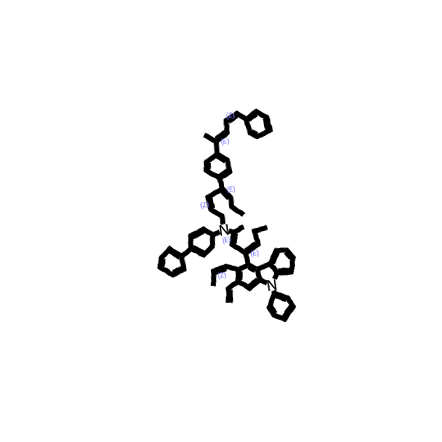 C=Cc1cc2c(c(C(=C/CC)/C=C(\C)N(C/C=C\C(=C/CC)c3ccc(/C(C)=C/C=C\c4ccccc4)cc3)C3C=CC(c4ccccc4)=CC3)c1/C=C\C)c1ccccc1n2-c1ccccc1